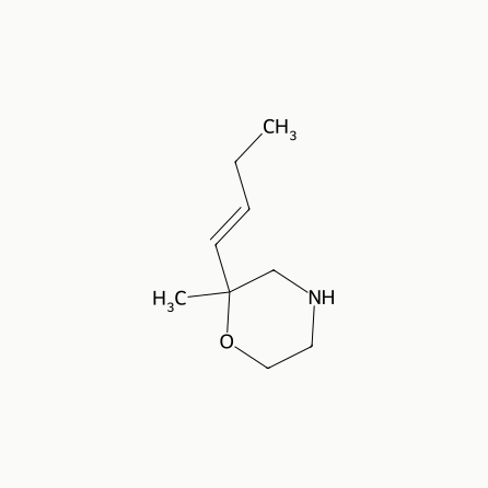 CCC=CC1(C)CNCCO1